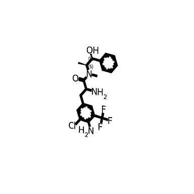 C[C@@H]([C@@H](O)c1ccccc1)N(C)C(=O)C(N)Cc1cc(Cl)c(N)c(C(F)(F)F)c1